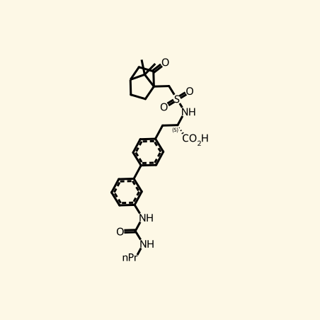 CCCNC(=O)Nc1cccc(-c2ccc(C[C@H](NS(=O)(=O)CC34CCC(CC3=O)C4(C)C)C(=O)O)cc2)c1